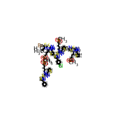 CC(C)(C)c1nc(Sc2nnc(-c3cccs3)n2CCCCCS(C)(=O)=O)sc1Br.CS(=O)(=O)CCCCCn1c(Sc2nc(-c3ccc(Cl)cc3)cs2)nnc1-c1cccs1.CS(=O)(=O)CCCCCn1c(Sc2nc(-c3ccccc3)cs2)nnc1-c1cccs1.Cc1csc(Sc2nnc(-c3cccs3)n2CCCCCS(C)(=O)=O)n1